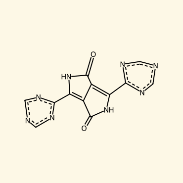 O=C1NC(c2ncncn2)=C2C(=O)NC(c3ncncn3)=C12